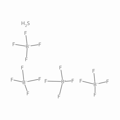 F[B-](F)(F)F.F[B-](F)(F)F.F[B-](F)(F)F.F[B-](F)(F)F.S